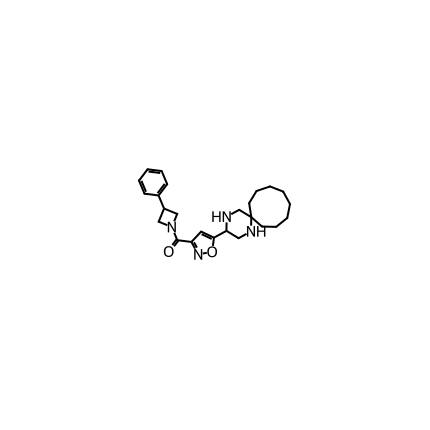 O=C(c1cc(C2CNC3(CCCCCCCC3)CN2)on1)N1CC(c2ccccc2)C1